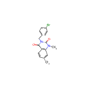 Cn1c(=O)n(Cc2ccc(Br)cc2)c(=O)c2ccc(C(F)(F)F)cc21